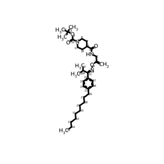 C=C(CNC(=O)C1CCN(C(=O)OC(C)(C)C)CC1)O/N=C(/c1ccc(CCCCCCCCCC)cc1)C(C)C